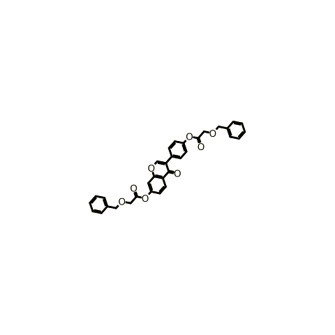 O=C(COCc1ccccc1)Oc1ccc(-c2coc3cc(OC(=O)COCc4ccccc4)ccc3c2=O)cc1